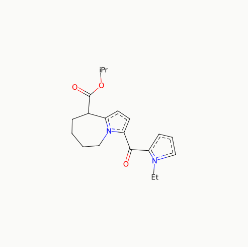 CCn1cccc1C(=O)c1ccc2n1CCCCC2C(=O)OC(C)C